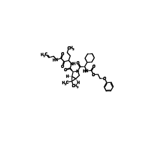 C=CCNC(=O)C(=O)C(CCC)NC(=O)[C@@H]1[C@H]2[C@@H](CN1C(=O)C(NC(=O)OCCOc1ccccc1)C1CCCCC1)C2(C)C